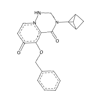 O=C1c2c(OCc3ccccc3)c(=O)ccn2NCN1C1C2CC1C2